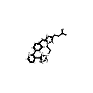 CCCn1nc(CCC(C)C)nc1Cc1ccc(-c2ncccc2-c2nnn[nH]2)cc1